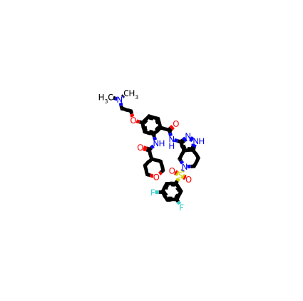 CN(C)CCOc1ccc(C(=O)Nc2n[nH]c3c2CN(S(=O)(=O)c2cc(F)cc(F)c2)CC3)c(NC(=O)C2CCOCC2)c1